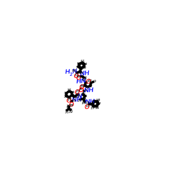 CCCC(NC(=O)[C@@H]1CC(CNC(=O)c2ccccc2)CN1C(=O)[C@H](NC(=O)OCC(C)C)C1CCCCC1)C(=O)C(=O)NCC(=O)N[C@@H](C(N)=O)c1ccccc1